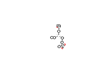 c1cc(-c2ccc3c(c2)Oc2ccccc2C32c3ccccc3-c3ccccc32)cc(-c2nc(-c3ccc(C45C[C@@H]6CC7C[C@@H](C4)C76C5)cc3)nc(-c3ccc4ccccc4c3)n2)c1